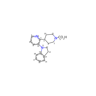 O=C(O)N1CCC(c2ncccc2N2CCc3ccccc32)CC1